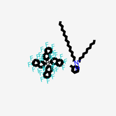 CCCCCCCCCCCCCCCC[NH+](CCCCCCCCCC)c1ccccc1C.Fc1c(F)c(F)c2c(F)c([B-](c3c(F)c(F)c4c(F)c(F)c(F)c(F)c4c3F)(c3c(F)c(F)c4c(F)c(F)c(F)c(F)c4c3F)c3c(F)c(F)c4c(F)c(F)c(F)c(F)c4c3F)c(F)c(F)c2c1F